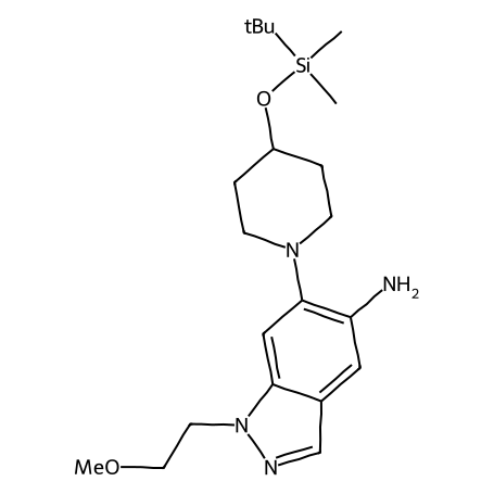 COCCn1ncc2cc(N)c(N3CCC(O[Si](C)(C)C(C)(C)C)CC3)cc21